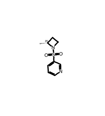 C[C@@H]1CCN1S(=O)(=O)c1cccnc1